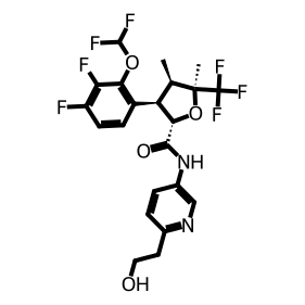 C[C@@H]1[C@H](c2ccc(F)c(F)c2OC(F)F)[C@@H](C(=O)Nc2ccc(CCO)nc2)O[C@]1(C)C(F)(F)F